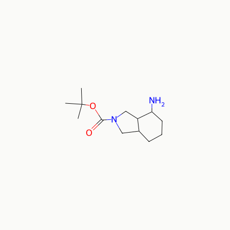 CC(C)(C)OC(=O)N1CC2CCCC(N)C2C1